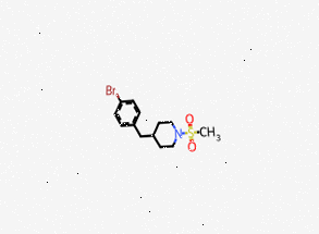 CS(=O)(=O)N1CCC(Cc2ccc(Br)cc2)CC1